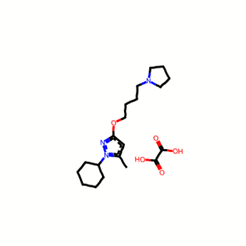 Cc1cc(OCCCCN2CCCC2)nn1C1CCCCC1.O=C(O)C(=O)O